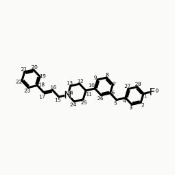 Fc1ccc(Cc2cccc(C3CCN(C/C=C/c4ccccc4)CC3)c2)cc1